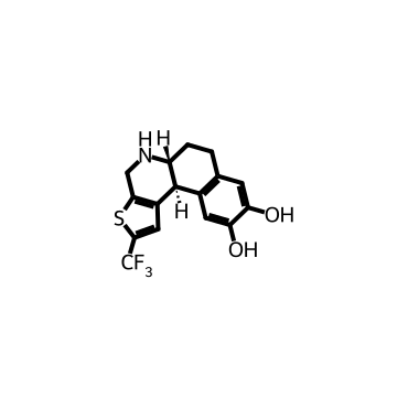 Oc1cc2c(cc1O)[C@H]1c3cc(C(F)(F)F)sc3CN[C@@H]1CC2